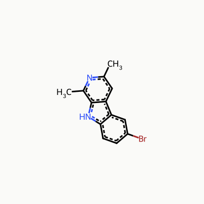 Cc1cc2c([nH]c3ccc(Br)cc32)c(C)n1